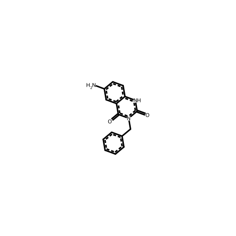 Nc1ccc2[nH]c(=O)n(Cc3ccccc3)c(=O)c2c1